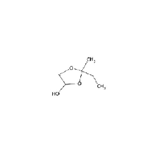 CCC1(C)OCC(O)O1